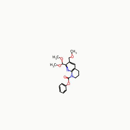 COCc1cc2c(nc1C(OC)OC)N(C(=O)Oc1ccccc1)CCC2